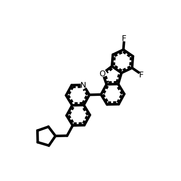 Fc1cc(F)c2c(c1)oc1c(-c3nccc4cc(CC5CCCC5)ccc34)cccc12